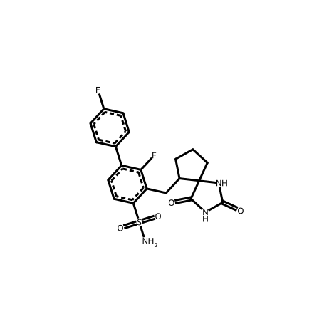 NS(=O)(=O)c1ccc(-c2ccc(F)cc2)c(F)c1CC1CCCC12NC(=O)NC2=O